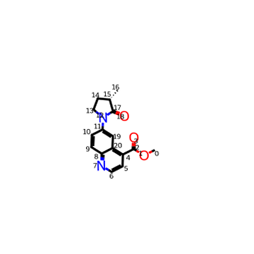 COC(=O)c1ccnc2ccc(N3CC[C@H](C)C3=O)cc12